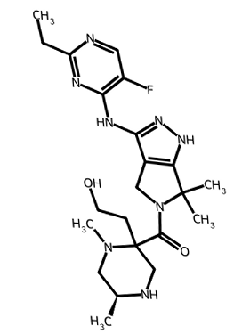 CCc1ncc(F)c(Nc2n[nH]c3c2CN(C(=O)C2(CCO)CN[C@@H](C)CN2C)C3(C)C)n1